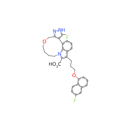 Cc1[nH]nc2c1-c1c(F)ccc3c(CCCOc4cccc5cc(F)ccc45)c(C(=O)O)n(c13)CCCCOC2